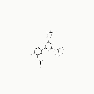 Nc1ncc(-c2cc(N3CCC4CC3CO4)nc(N3CCC(F)(F)C3)n2)cc1OC(F)F